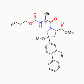 C=CCCOC(=O)N[C@H](C(=O)N1CC(OC)(c2ccc(-c3ccccc3)c(C=C)c2)CC1C(=O)OC)C(C)(C)C